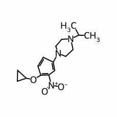 CC(C)N1CCN(c2ccc(OC3CC3)c([N+](=O)[O-])c2)CC1